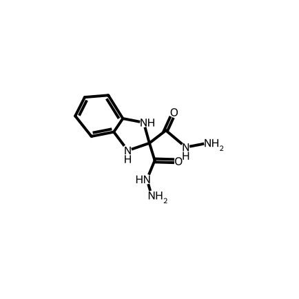 NNC(=O)C1(C(=O)NN)Nc2ccccc2N1